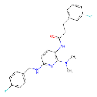 CN(C)c1nc(NCc2ccc(F)cc2)ccc1NC(=O)CCc1cccc(F)c1